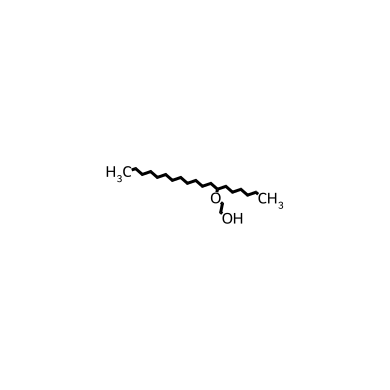 CCCCCCCCCCCCC(CCCCCC)OCCO